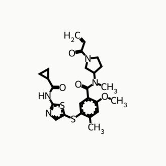 C=CC(=O)N1CCC(N(C)C(=O)c2cc(Sc3cnc(NC(=O)C4CC4)s3)c(C)cc2OC)C1